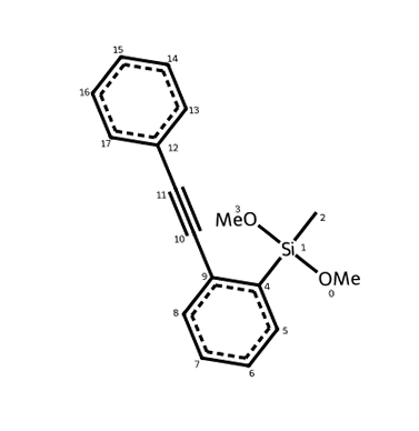 CO[Si](C)(OC)c1ccccc1C#Cc1ccccc1